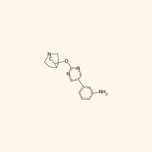 Nc1cccc(-c2cnc(OC3CN4CCC3CC4)nc2)c1